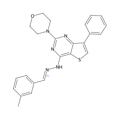 Cc1cccc(/C=N/Nc2nc(N3CCOCC3)nc3c(-c4ccccc4)csc23)c1